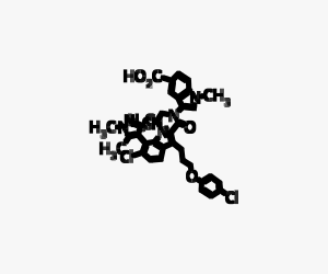 Cc1nn(C)c(C)c1-c1c(Cl)ccc2c(CCCOc3ccc(Cl)cc3)c3n(c12)C(C)CN(c1cn(C)c2ccc(C(=O)O)cc12)C3=O